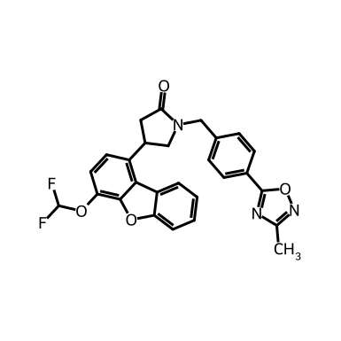 Cc1noc(-c2ccc(CN3CC(c4ccc(OC(F)F)c5oc6ccccc6c45)CC3=O)cc2)n1